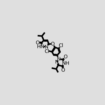 CC(C)c1cc(Oc2c(Cl)cc(-n3nc(C(C)C)c(=O)[nH]c3=O)cc2Cl)n[nH]c1=O